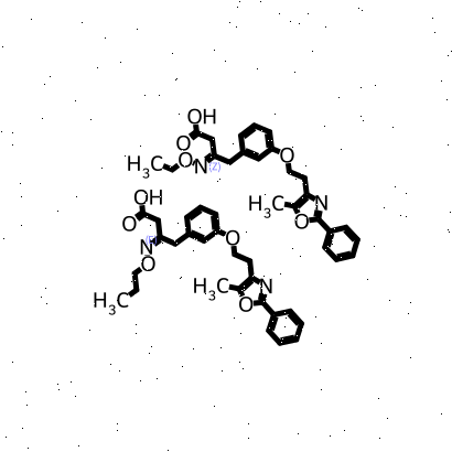 CCCO/N=C(/CC(=O)O)Cc1cccc(OCCc2nc(-c3ccccc3)oc2C)c1.CCO/N=C(\CC(=O)O)Cc1cccc(OCCc2nc(-c3ccccc3)oc2C)c1